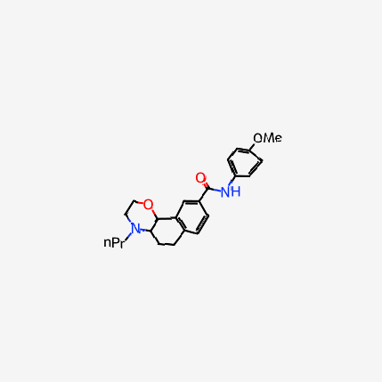 CCCN1CCOC2c3cc(C(=O)Nc4ccc(OC)cc4)ccc3CCC21